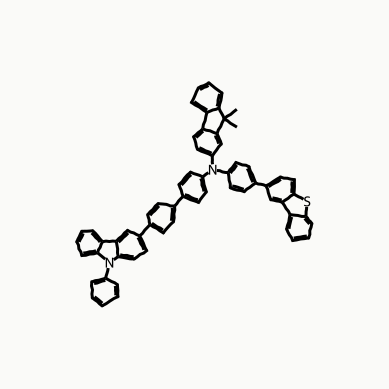 CC1(C)c2ccccc2-c2ccc(N(c3ccc(-c4ccc(-c5ccc6c(c5)c5ccccc5n6-c5ccccc5)cc4)cc3)c3ccc(-c4ccc5sc6ccccc6c5c4)cc3)cc21